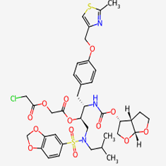 Cc1nc(COc2ccc(C[C@H](NC(=O)O[C@H]3CO[C@H]4OCC[C@H]43)[C@@H](CN(CC(C)C)S(=O)(=O)c3ccc4c(c3)OCO4)OC(=O)COC(=O)CCl)cc2)cs1